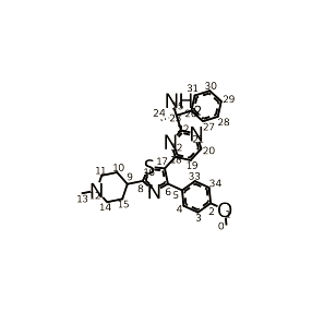 COc1ccc(-c2nc(C3CCN(C)CC3)sc2-c2ccnc([C@@](C)(N)c3ccccc3)n2)cc1